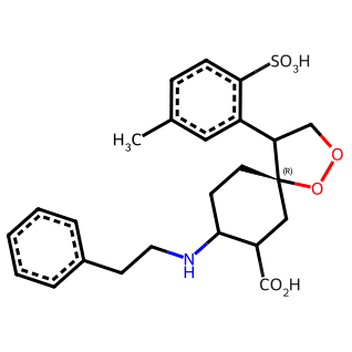 Cc1ccc(S(=O)(=O)O)c(C2COO[C@@]23CCC(NCCc2ccccc2)C(C(=O)O)C3)c1